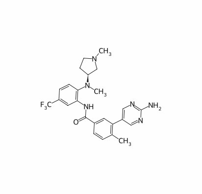 Cc1ccc(C(=O)Nc2cc(C(F)(F)F)ccc2N(C)[C@H]2CCN(C)C2)cc1-c1cnc(N)nc1